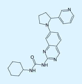 O=C(Nc1ncc2ccc(N3CCCC3c3cccnc3)cc2n1)NC1CCCCC1